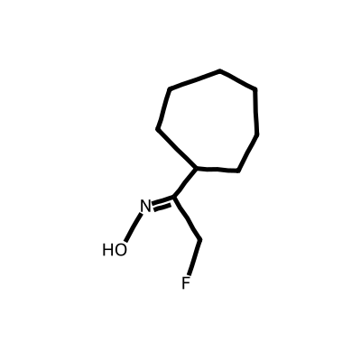 O/N=C(\CF)C1CCCCCC1